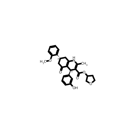 COc1ccccc1[C@H]1CC(=O)C2=C(C1)NC(C)=C(C(=O)OC1CCOC1)[C@H]2c1cccc(O)c1